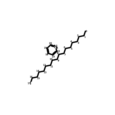 CCCCCCCCCCCCCCCCCI.c1ccncc1